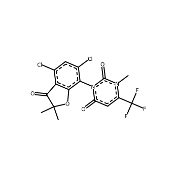 Cn1c(C(F)(F)F)cc(=O)n(-c2c(Cl)cc(Cl)c3c2OC(C)(C)C3=O)c1=O